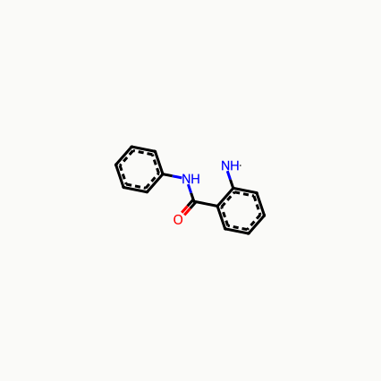 [NH]c1ccccc1C(=O)Nc1ccccc1